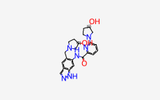 O=C(Nc1cc2[nH]ncc2cc1CN1CC[C@@H](O)C1)c1cccc(N2CC[C@H](O)C2)n1